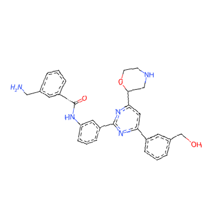 NCc1cccc(C(=O)Nc2cccc(-c3nc(-c4cccc(CO)c4)cc(C4CNCCO4)n3)c2)c1